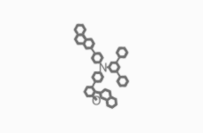 c1ccc(-c2cc(-c3ccccc3)cc(N(c3ccc(-c4ccc5c(ccc6ccccc65)c4)cc3)c3ccc(-c4cccc5oc6c7ccccc7ccc6c45)cc3)c2)cc1